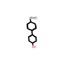 CCCCCC1CCC(C2CCC(O)CC2)CC1